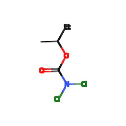 CCC(C)OC(=O)N(Cl)Cl